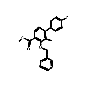 COC(=O)c1ccc(-c2ccc(F)cc2)c(F)c1OCc1ccccc1